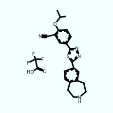 CC(C)Oc1ccc(-c2nnc(-c3ccc4c(c3)CCNCC4)s2)cc1C#N.O=C(O)C(F)(F)F